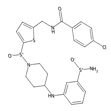 N[S+]([O-])c1cccc(NC2CCN([S+]([O-])c3ccc(CNC(=O)c4ccc(Cl)cc4)s3)CC2)c1